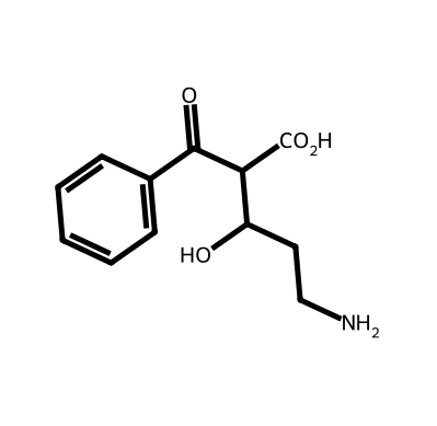 NCCC(O)C(C(=O)O)C(=O)c1ccccc1